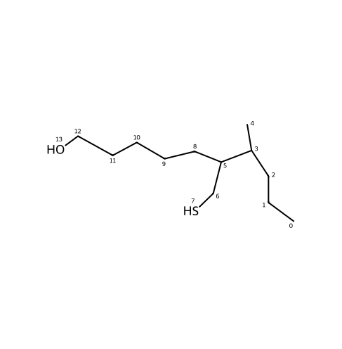 CCCC(C)C(CS)CCCCCO